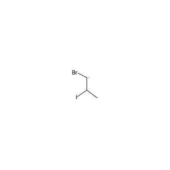 CC(I)[CH]Br